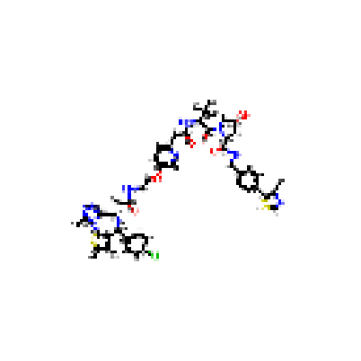 Cc1ncsc1-c1ccc(CNC(=O)[C@@H]2C[C@@H](O)CN2C(=O)C(NC(=O)Cc2ccc(OCCNC(=O)C[C@@H]3N=C(c4ccc(Cl)cc4)c4c(sc(C)c4C)-n4c(C)nnc43)cn2)C(C)(C)C)cc1